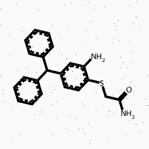 NC(=O)CSc1ccc(C(c2ccccc2)c2ccccc2)cc1N